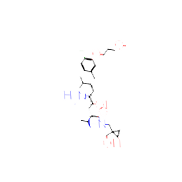 COCCCOc1cc(C[C@@H](C[C@H](N)[C@@H](O)C[C@H](C(=O)NCC2(CO)CC2)C(C)C)C(C)C)ccc1F